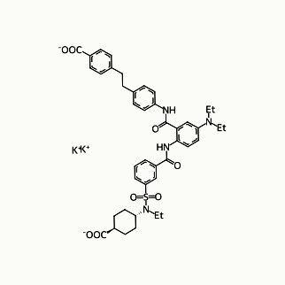 CCN(CC)c1ccc(NC(=O)c2cccc(S(=O)(=O)N(CC)[C@H]3CC[C@H](C(=O)[O-])CC3)c2)c(C(=O)Nc2ccc(CCc3ccc(C(=O)[O-])cc3)cc2)c1.[K+].[K+]